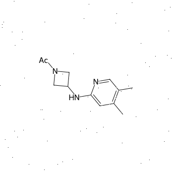 CC(=O)N1CC(Nc2cc(C)c(C)cn2)C1